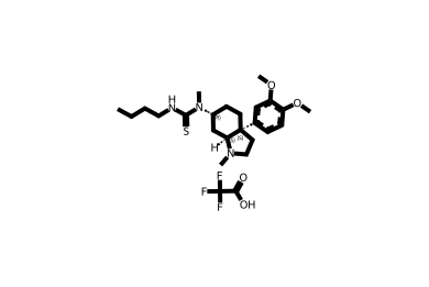 CCCCNC(=S)N(C)[C@@H]1CC[C@@]2(c3ccc(OC)c(OC)c3)CCN(C)[C@H]2C1.O=C(O)C(F)(F)F